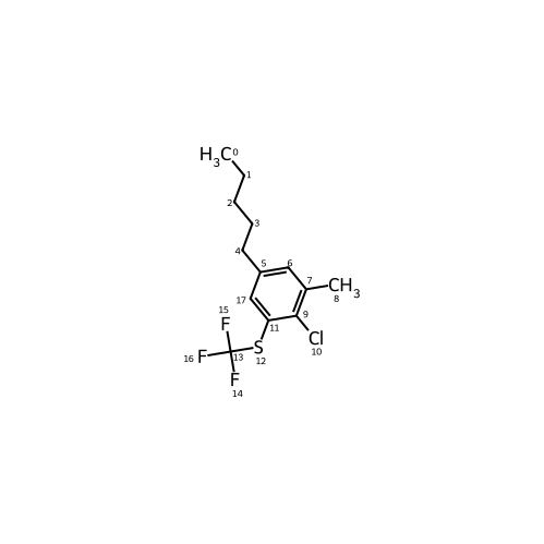 CCCCCc1cc(C)c(Cl)c(SC(F)(F)F)c1